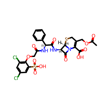 CC(=O)OCC1=C(C(=O)O)N2C(=O)[C@@H](NC(=O)[C@@H](NC(=O)COc3c(Cl)cc(Cl)cc3S(=O)(=O)O)c3ccccc3)[C@H]2SC1